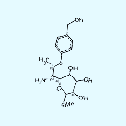 CSC1O[C@H]([C@H](N)[C@H](C)Sc2ccc(CO)cc2)C(O)C(O)[C@H]1O